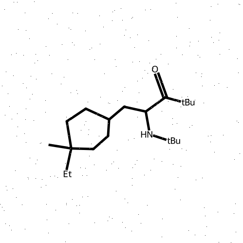 CCC1(C)CCC(CC(NC(C)(C)C)C(=O)C(C)(C)C)CC1